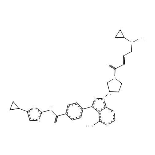 CN(CC=CC(=O)N1CC[C@@H](n2nc(-c3ccc(C(=O)Nc4ncc(C5CC5)s4)cc3)c3c(N)ncnc32)C1)C1CC1